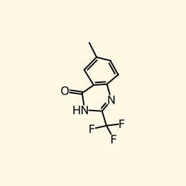 Cc1ccc2nc(C(F)(F)F)[nH]c(=O)c2c1